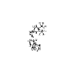 Cc1cc2c(cc1[Se]C#Cc1ccc(C(=O)O)c(O)c1C)C(C)(C)CCC2(C)C